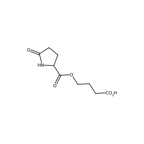 O=C(O)CCCOC(=O)C1CCC(=O)N1